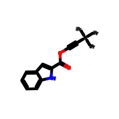 CC(C)[Si](C#COC(=O)c1cc2ccccc2[nH]1)(C(C)C)C(C)C